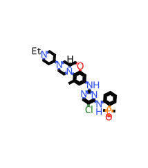 CCN1CCC(N2CCN3c4c(C)cc(Nc5ncc(Cl)c(Nc6ccccc6P(C)(C)=O)n5)cc4OC[C@@H]3C2)CC1